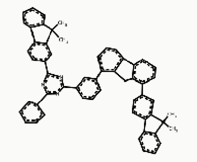 CC1(C)c2ccccc2-c2ccc(-c3nc(-c4ccccc4)nc(-c4cccc(-c5cccc6c5Cc5c(-c7ccc8c(c7)C(C)(C)c7ccccc7-8)cccc5-6)c4)n3)cc21